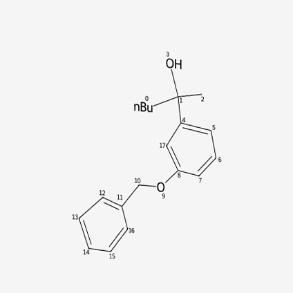 CCCCC(C)(O)c1cccc(OCc2ccccc2)c1